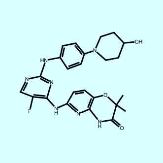 CC1(C)Oc2ccc(Nc3nc(Nc4ccc(N5CCC(O)CC5)cc4)ncc3F)nc2NC1=O